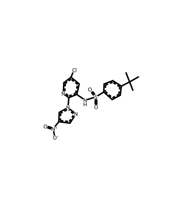 CC(C)(C)c1ccc(S(=O)(=O)Nc2cc(Cl)cnc2-n2cc([N+](=O)[O-])cn2)cc1